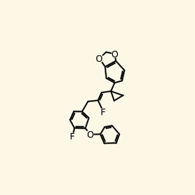 FC(=CC1(c2ccc3c(c2)OCO3)CC1)Cc1ccc(F)c(Oc2ccccc2)c1